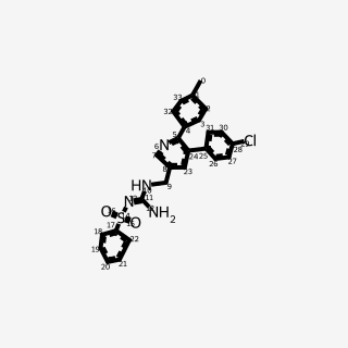 Cc1ccc(-c2ncc(CN/C(N)=N/S(=O)(=O)c3ccccc3)cc2-c2ccc(Cl)cc2)cc1